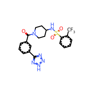 O=C(c1cccc(-c2nn[nH]n2)c1)N1CCC(NS(=O)(=O)c2ccccc2C(F)(F)F)CC1